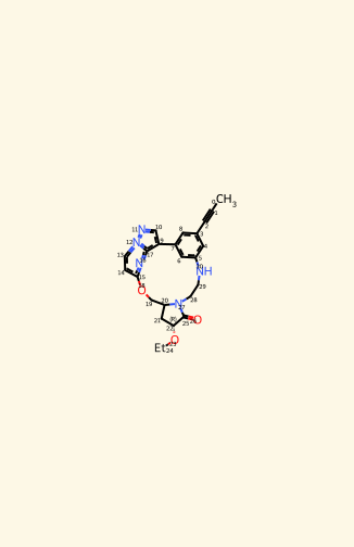 CC#Cc1cc2cc(c1)-c1cnn3ccc(nc13)OCC1C[C@@H](OCC)C(=O)N1CCN2